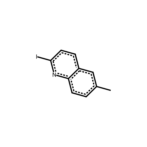 Cc1ccc2nc(I)ccc2c1